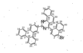 Brc1ccc(-c2nc(-c3ccc4c5ccccc5c5ccccc5c4c3)nc3c2ccc2ccccc23)c2ccccc12